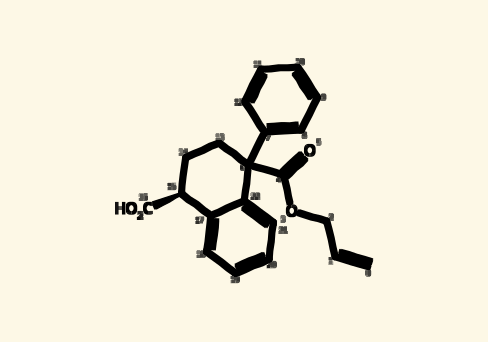 C=CCOC(=O)C1(c2ccccc2)CC[C@H](C(=O)O)c2ccccc21